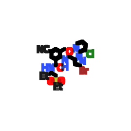 CCC(CS(=O)(=O)CC)NC(=O)c1cc(C#N)cc(C)c1NC(=O)c1cc(Br)nn1-c1ncccc1Cl